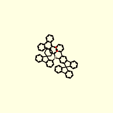 c1ccc(-c2cc3c(cc2N(c2ccc4c5ccccc5c5ccccc5c4c2)c2cccc4c2C2(CCCCC2)c2ccccc2-4)C2(c4ccccc4-c4ccccc42)c2ccccc2-3)cc1